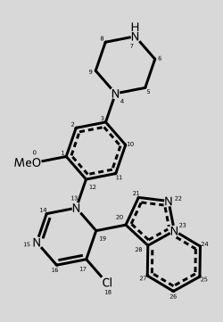 COc1cc(N2CCNCC2)ccc1N1C=NC=C(Cl)C1c1cnn2ccccc12